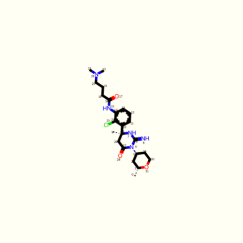 C[C@@H]1C[C@H](N2C(=N)N[C@](C)(c3cccc(NC(=O)CCCN(C)C)c3Cl)CC2=O)CCO1